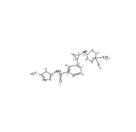 Cc1ncc(NC(=O)c2cccc(C3CC3NC3CCC(C)(F)CC3)c2)s1